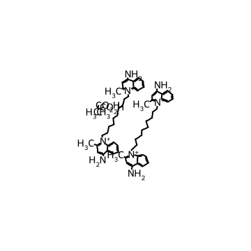 CC(=O)O.CC(=O)O.Cc1cc(N)c2ccccc2[n+]1CCCCCCCCCC[n+]1c(C)cc(N)c2ccccc21.Cc1cc(N)c2ccccc2[n+]1CCCCCCCCCC[n+]1c(C)cc(N)c2ccccc21